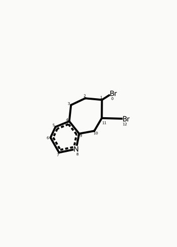 BrC1CCc2cccnc2CC1Br